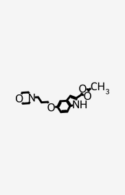 CC1OC(c2cc3cc(OCCCN4CCOCC4)ccc3[nH]2)O1